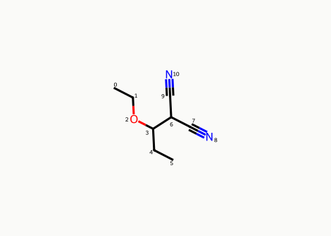 CCOC(CC)C(C#N)C#N